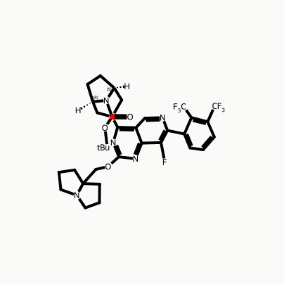 CC(C)(C)OC(=O)N1[C@@H]2CC[C@H]1CN(c1nc(OCC34CCCN3CCC4)nc3c(F)c(-c4cccc(C(F)(F)F)c4C(F)(F)F)ncc13)C2